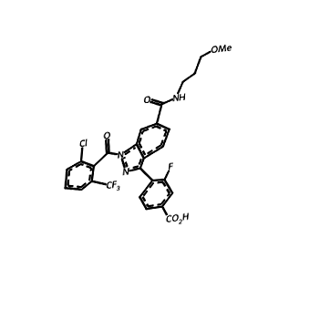 COCCCNC(=O)c1ccc2c(-c3ccc(C(=O)O)cc3F)nn(C(=O)c3c(Cl)cccc3C(F)(F)F)c2c1